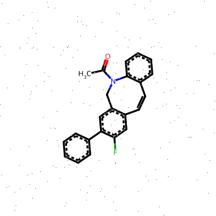 CC(=O)N1Cc2cc(-c3ccccc3)c(F)cc2/C=C\c2ccccc21